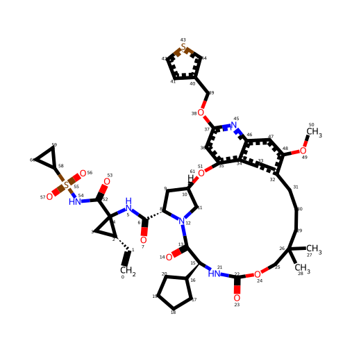 C=C[C@@H]1CC1(NC(=O)[C@@H]1C[C@@H]2CN1C(=O)[C@H](C1CCCC1)NC(=O)OCC(C)(C)CCCc1cc3c(cc(OCc4ccsc4)nc3cc1OC)O2)C(=O)NS(=O)(=O)C1CC1